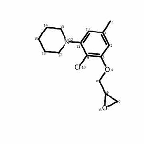 Cc1cc(OCC2CO2)c(Cl)c(N2CCCCC2)c1